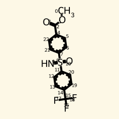 COC(=O)c1ccc(S(=N)(=O)c2ccc(C(F)(F)F)cc2)cc1